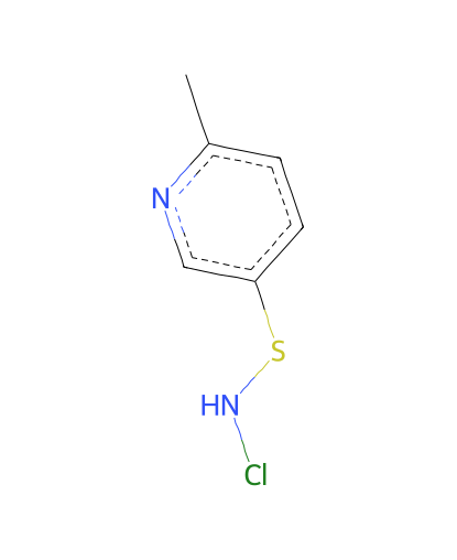 Cc1ccc(SNCl)cn1